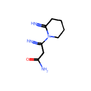 N=C1CCCCN1C(=N)CC(N)=O